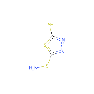 NSc1nnc(S)s1